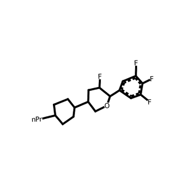 CCCC1CCC(C2COC(c3cc(F)c(F)c(F)c3)C(F)C2)CC1